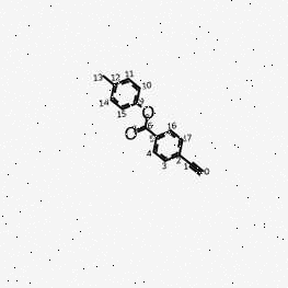 C#Cc1ccc(C(=O)Oc2ccc(C)cc2)cc1